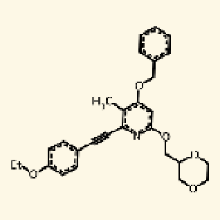 CCOc1ccc(C#Cc2nc(OCC3COCCO3)cc(OCc3ccccc3)c2C)cc1